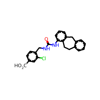 O=C(NCc1ccc(C(=O)O)cc1Cl)Nc1cccc2c1CCc1ccccc1C2